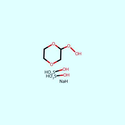 O=S(=O)(O)O.O=S(=O)(O)O.OOC1COCCO1.[NaH]